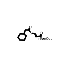 CCCCCCCCNC(=O)C=CSC(=O)CC1CCCCC1